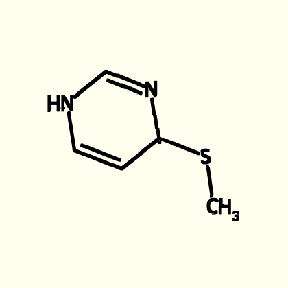 CS[C]1C=CNC=N1